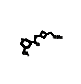 CC(=O)NCC1CC(OC(=O)c2cncc(C)c2)C1